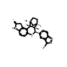 Nc1n[nH]c2ccc([C@H]3Nc4ccc5c(c4[C@@H]4[C@H]6CC[C@H](C6)[C@@H]43)CC(=O)N5)cc12